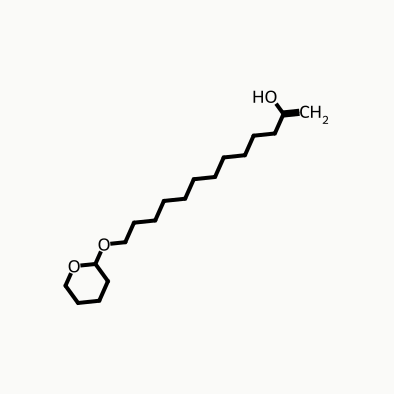 C=C(O)CCCCCCCCCCCOC1CCCCO1